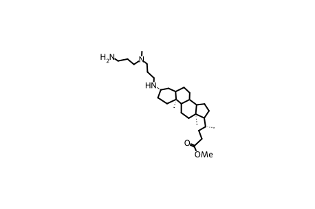 COC(=O)CC[C@@H](C)C1CCC2C3CCC4C[C@@H](NCCCN(C)CCCN)CC[C@]4(C)C3CC[C@@]21C